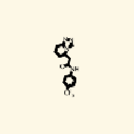 O=C(Cc1cccc2nncn12)Nc1ccc(C(F)(F)F)cc1